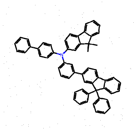 CC1(C)c2ccccc2-c2ccc(N(c3ccc(-c4ccccc4)cc3)c3cccc(-c4ccc5c(c4)C(c4ccccc4)(c4ccccc4)c4ccccc4-5)c3)cc21